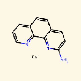 Nc1ccc2ccc3cccnc3c2n1.[Os]